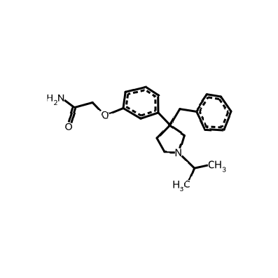 CC(C)N1CCC(Cc2ccccc2)(c2cccc(OCC(N)=O)c2)C1